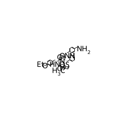 CCOc1ccc(C[C@@H](NC(=O)Oc2sccc2C)C(=O)N[C@@H](Cc2cccnc2)C(=O)NCc2ccc(CN)cc2)cc1